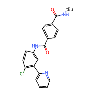 CC(C)(C)NC(=O)c1ccc(C(=O)Nc2ccc(Cl)c(-c3ccccn3)c2)cc1